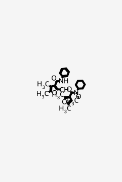 CON(C(=O)c1cc(C)oc1C)C1CCCCC1.Cc1oc(C)c(C(=O)Nc2ccccc2)c1C